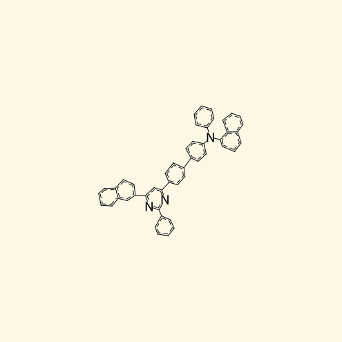 c1ccc(-c2nc(-c3ccc(-c4ccc(N(c5ccccc5)c5cccc6ccccc56)cc4)cc3)cc(-c3ccc4ccccc4c3)n2)cc1